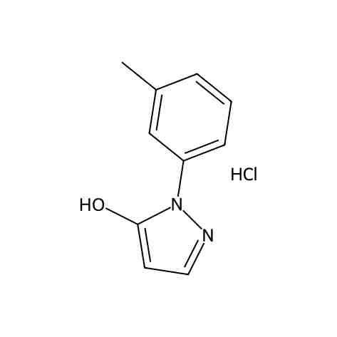 Cc1cccc(-n2nccc2O)c1.Cl